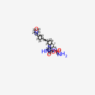 NCC(=O)NCC(Cc1ccc(C#Cc2ccc(CN3CCOCC3)cc2)cc1)c1nc[nH]c(=O)c1O